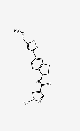 COCc1nc(-c2ccc3c(c2)CC[C@H]3NC(=O)c2cnn(C)c2)no1